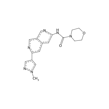 Cn1cc(-c2cc3cc(NC(=O)N4CCOCC4)ncc3cn2)cn1